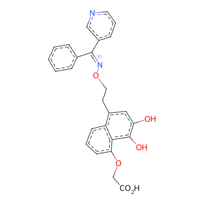 O=C(O)COc1cccc2c(CCO/N=C(\c3ccccc3)c3cccnc3)cc(O)c(O)c12